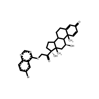 CC12C=CC(=O)C=C1CCC1C2[C@@H](O)CC2(C)C1CC[C@]2(O)C(=O)CSc1ncnc2ccc(Br)cc12